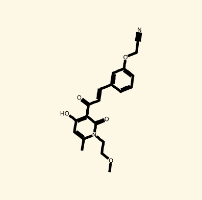 COCCn1c(C)cc(O)c(C(=O)/C=C/c2cccc(OCC#N)c2)c1=O